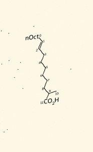 CCCCCCCCC=CCCCCCCC(C)C(=O)O